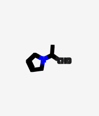 CC(C=O)N1CC=CC1